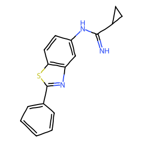 N=C(Nc1ccc2sc(-c3ccccc3)nc2c1)C1CC1